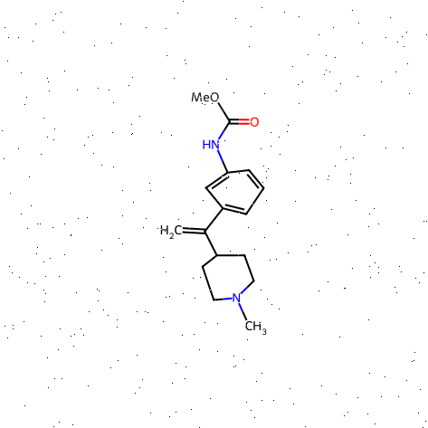 C=C(c1cccc(NC(=O)OC)c1)C1CCN(C)CC1